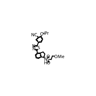 COCCS(=O)(=O)N[C@H]1CCc2c(-c3nnc(-c4ccc(OC(C)C)c(C#N)c4)s3)cccc21